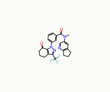 CN(C(=O)c1cccc(-n2nc(C(F)(F)F)c3c2C(=O)CCC3)c1)c1cnc2c(c1)CCC2